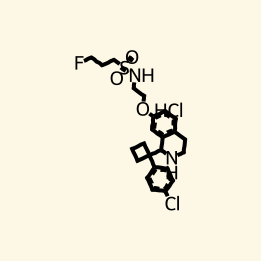 Cl.O=S(=O)(CCCF)NCCOc1ccc2c(c1)C(C1(c3ccc(Cl)cc3)CCC1)NCC2